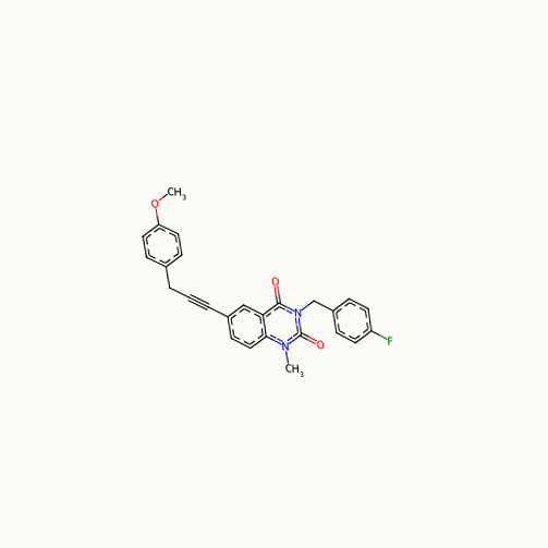 COc1ccc(CC#Cc2ccc3c(c2)c(=O)n(Cc2ccc(F)cc2)c(=O)n3C)cc1